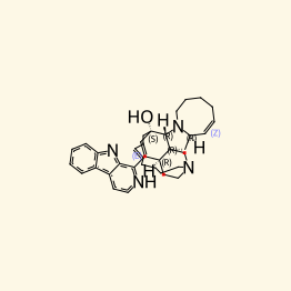 O[C@]12C=C(c3[nH]ccc4c5ccccc5nc3-4)[C@@H]3CCN(CCCC/C=C/CC1)C[C@@]31C[C@@H]3/C=C\CCCCN3[C@H]12